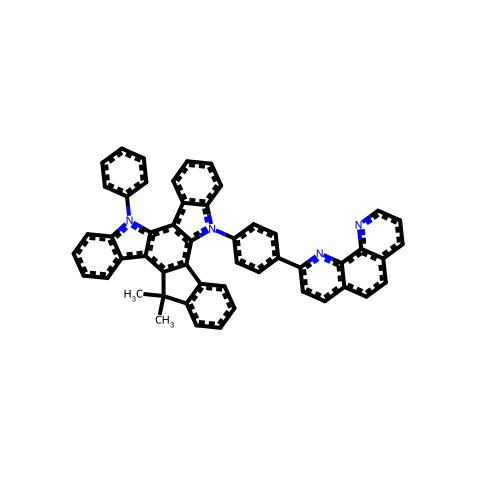 CC1(C)c2ccccc2-c2c1c1c3ccccc3n(-c3ccccc3)c1c1c3ccccc3n(-c3ccc(-c4ccc5ccc6cccnc6c5n4)cc3)c21